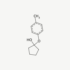 Cc1ccc(OC2(O)CCCC2)cc1